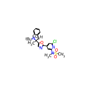 CN(c1cc(-c2ncc(C(C)(Cc3ccccc3)N(C(=O)O)C(C)(C)C)o2)cc(Cl)n1)S(C)(=O)=O